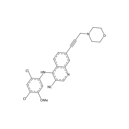 COc1cc(Nc2c(C#N)cnc3cc(C#CCN4CCOCC4)ccc23)c(Cl)cc1Cl